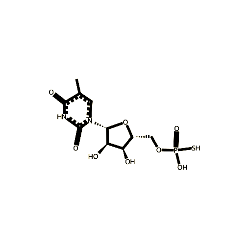 Cc1cn([C@@H]2O[C@H](COP(=O)(O)S)[C@@H](O)[C@H]2O)c(=O)[nH]c1=O